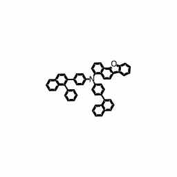 c1ccc(-c2c(-c3ccc(N(c4ccc(-c5cccc6ccccc56)cc4)c4cccc5c4ccc4c6ccccc6oc54)cc3)ccc3ccccc23)cc1